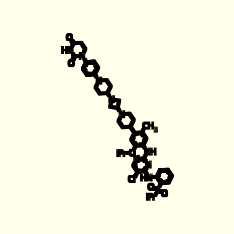 Cc1cc(Nc2ncc(Cl)c(Nc3ccccc3S(=O)(=O)C(C)C)n2)c(OC(C)C)cc1C1CCN(C2CN(C3CCN(c4ccc(N5CCC(=O)NC5=O)cc4)CC3)C2)CC1